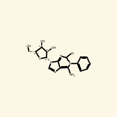 CC(C)C1N=c2c(ncn2[C@@H]2O[C@H](CO)[C@@H](O)[C@H]2O)=C(N)N1c1ccccc1